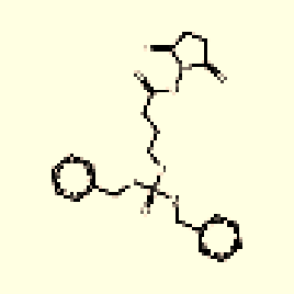 O=C(CCCOP(=O)(OCc1ccccc1)OCc1ccccc1)ON1C(=O)CCC1=O